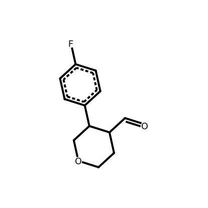 O=CC1CCOCC1c1ccc(F)cc1